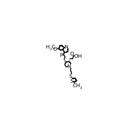 COc1ccc2nccc([C@H](F)CC[C@@H]3CCN(CCCSc4ccc(C)s4)C[C@H]3CCC(=O)O)c2c1